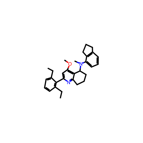 CCc1cccc(CC)c1-c1cc(OC)c2c(n1)CCCC2N(C)c1cccc2c1CCC2